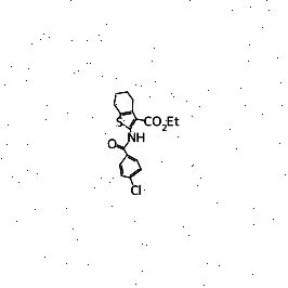 CCOC(=O)c1c(NC(=O)c2ccc(Cl)cc2)sc2c1CCCC2